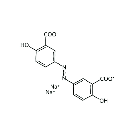 O=C([O-])c1cc(/N=N/c2ccc(O)c(C(=O)[O-])c2)ccc1O.[Na+].[Na+]